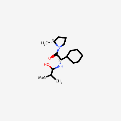 CNC(C)C(O)N[C@H](C(=O)N1CCC[C@H]1C)C1CCCCC1